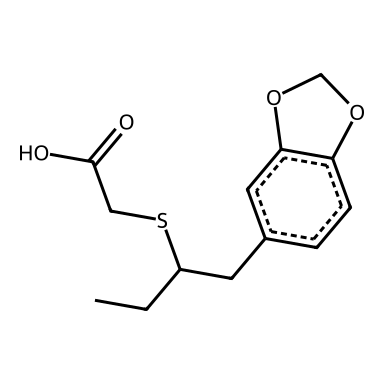 CCC(Cc1ccc2c(c1)OCO2)SCC(=O)O